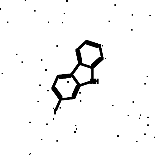 Ic1ccc2c(c1)[nH]c1ccccc12